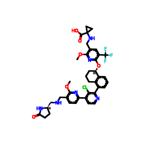 COc1nc(-c2ccnc(-c3cccc4c3CCC[C@@H]4Oc3nc(OC)c(CNC4(C(=O)O)CC4)cc3C(F)(F)F)c2Cl)ccc1CNC[C@@H]1CCC(=O)N1